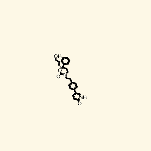 O=C1O[C@@](CCCO)(c2ccccc2)CCN1CCc1ccc(-c2ccc(=O)[nH]c2)cc1